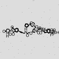 CC(C)(C)[C@H](NC(=O)c1cc2cc(C(F)(F)P(=O)(O)O)ccc2s1)C(=O)N1C[C@@H](OCC(=O)NCC#Cc2ccc3c(c2)C(=O)N(C2CCC(=O)NC2=O)C3=O)C[C@H]1C(=O)N1CCO[C@H](c2ccccc2)C1